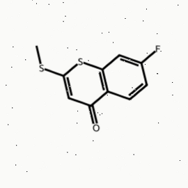 CSc1cc(=O)c2ccc(F)cc2s1